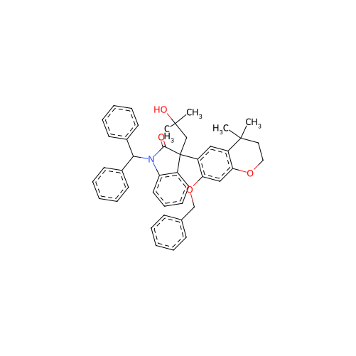 CC(C)(O)CC1(c2cc3c(cc2OCc2ccccc2)OCCC3(C)C)C(=O)N(C(c2ccccc2)c2ccccc2)c2ccccc21